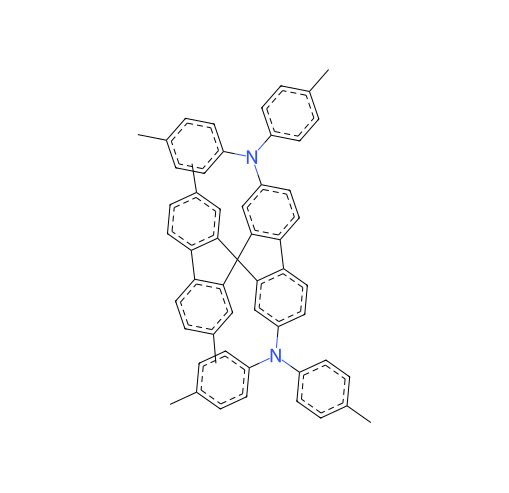 Cc1ccc(N(c2ccc(C)cc2)c2ccc3c(c2)C2(c4cc(C)ccc4-c4ccc(C)cc42)c2cc(N(c4ccc(C)cc4)c4ccc(C)cc4)ccc2-3)cc1